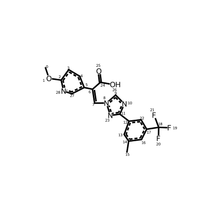 COc1ccc(C(=Cn2cnc(-c3cc(C)cc(C(F)(F)F)c3)n2)C(=O)O)cn1